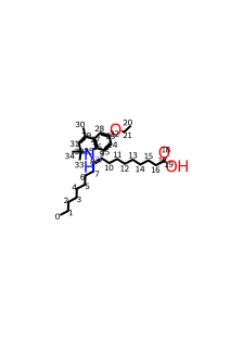 CCCCCCCC/C=C\CCCCCCCC(=O)O.CCOc1ccc2c(c1)C(C)=CC(C)(C)N2